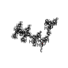 CCCCCNC(=O)c1cc(I)ccc1Nc1ccc(I)cc1C.Cc1cc(I)ccc1Nc1ccc(I)cc1C(=O)NC1CCCCC1.Cc1cc(I)ccc1Nc1ccc([N+](=O)[O-])cc1C(=O)NOCc1ccccc1.Cc1cccc(CNC(=O)c2cc(I)ccc2Nc2ccc(I)cc2C)c1.Cc1cccc(CNC(=O)c2cc([N+](=O)[O-])ccc2Nc2ccc(I)cc2C)c1